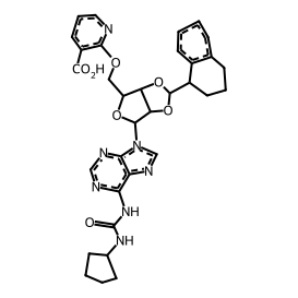 O=C(Nc1ncnc2c1ncn2C1OC(COc2ncccc2C(=O)O)C2OC(C3CCCc4ccccc43)OC21)NC1CCCC1